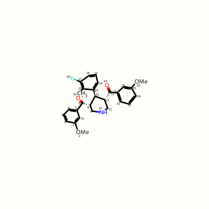 COc1cccc(C(=O)[C@H]2CNC[C@@H](C(=O)c3cccc(OC)c3)[C@@H]2c2cccc(F)c2C)c1